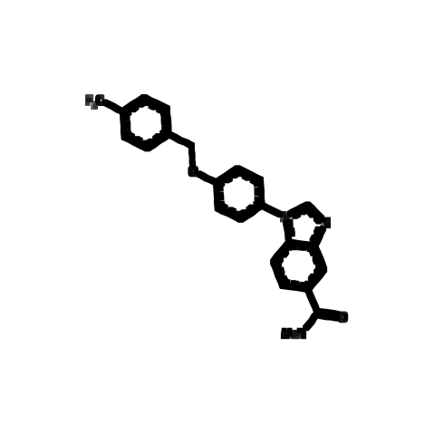 CNC(=O)c1ccc2c(c1)ncn2-c1ccc(OCc2ccc(C(F)(F)F)cc2)cc1